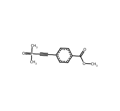 COC(=O)c1ccc(C#CP(C)(C)=O)cc1